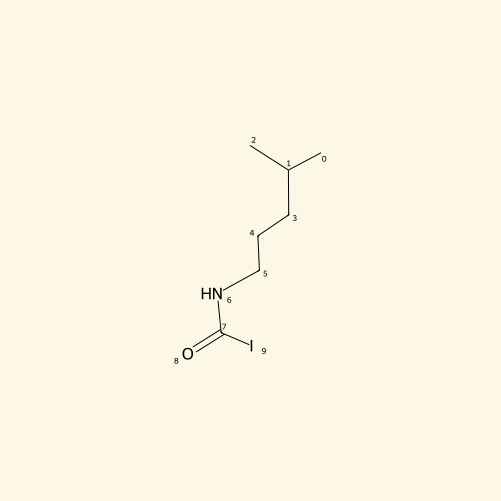 CC(C)CCCNC(=O)I